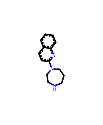 c1ccc2nc(N3CCCNCC3)ccc2c1